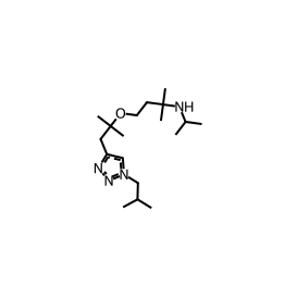 CC(C)Cn1cc(CC(C)(C)OCCC(C)(C)NC(C)C)nn1